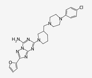 Nc1nc(N2CCCC(CN3CCN(c4ccc(Cl)cc4)CC3)C2)nc2nc(-c3ccco3)nn12